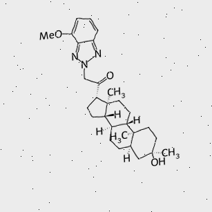 COc1cccc2nn(CC(=O)[C@H]3CC[C@H]4[C@@H]5CC[C@@H]6C[C@](C)(O)CC[C@]6(C)[C@H]5CC[C@]34C)nc12